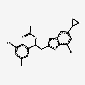 CC(=O)OC(Cc1cn2cc(C3CC3)cc(Br)c2n1)c1cc(N)nc(C)n1